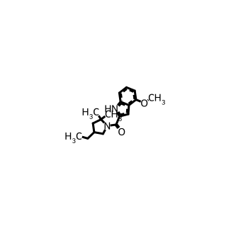 CCC1CN(C(=O)c2cc3c(OC)cccc3[nH]2)C(C)(C)C1